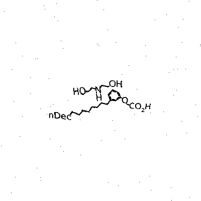 CCCCCCCCCCCCCCCCCCc1cccc(OCC(=O)O)c1.OCCNCCO